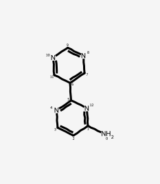 Nc1ccnc(-c2cncnc2)n1